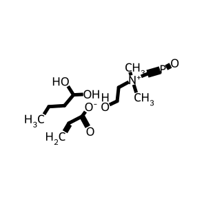 C=CC(=O)[O-].CCCC(O)O.C[N+](C)(C#P=O)CCO